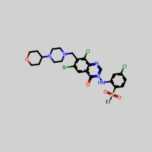 CCS(=O)(=O)c1ccc(Cl)cc1Nn1cnc2c(Cl)c(CN3CCN(C4CCOCC4)CC3)c(Br)cc2c1=O